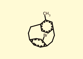 Cc1cc2ccc1CCc1ccc(c(Br)c1)CC2